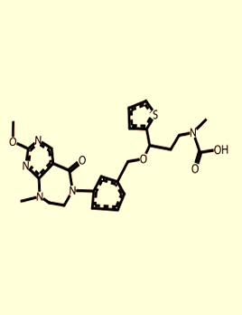 COc1ncc2c(n1)N(C)CCN(c1cccc(COC(CCN(C)C(=O)O)c3cccs3)c1)C2=O